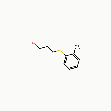 Cc1ccccc1SCCCO